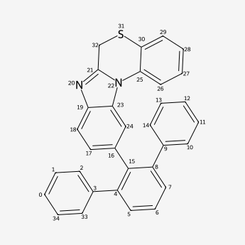 c1ccc(-c2cccc(-c3ccccc3)c2-c2ccc3nc4n(c3c2)-c2ccccc2SC4)cc1